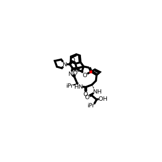 CC(C)C(O)C(=O)N[C@H]1Cc2ccc3c(c2)C2(c4ccccc4NC2O3)c2oc(nc2C(=O)N2CCCC2)[C@H](C(C)C)NC1=O